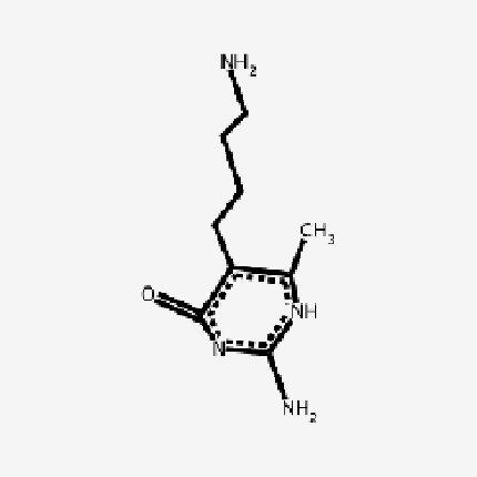 Cc1[nH]c(N)nc(=O)c1CCCCN